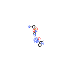 Cc1cc(NC(=O)NCCN2CCC(N(C)S(=O)(=O)c3cccc(C#N)c3)C2)c2ccccc2n1